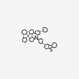 c1ccc(-c2cccc(N(c3ccc(-c4ccc5sc6ccccc6c5c4)cc3)c3cccc4c3-c3ccccc3C43c4ccccc4-c4ccccc43)c2)cc1